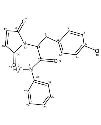 CN(C(=O)C(Cc1ccc(Cl)cc1)N1C(=O)C=CC1=O)c1ccccc1